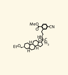 CCOC[C@H]1CC[C@@H]2C3CC[C@@]4(C)C(CCC4[C@@H](C)NCCc4cc(C#N)ccc4C(=O)OC)[C@@H]3CC[C@@H]2C1